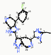 CC1=NCC(c2cc3c(-c4nc5c(-c6cccc(F)c6)cncc5[nH]4)n[nH]c3cn2)N1C